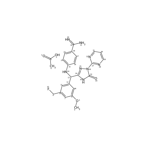 CC(=O)O.COc1cc(CF)cc(C(Nc2ccc(C(=N)N)cc2)c2nn(-c3ncccn3)c(=O)[nH]2)c1